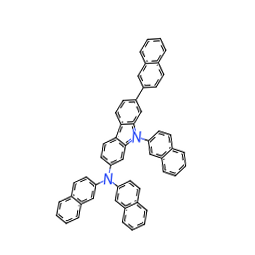 c1ccc2cc(-c3ccc4c5ccc(N(c6ccc7ccccc7c6)c6ccc7ccccc7c6)cc5n(-c5ccc6ccccc6c5)c4c3)ccc2c1